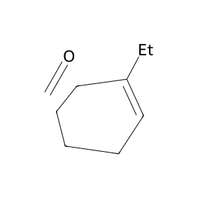 C=O.CCC1=CCCCC1